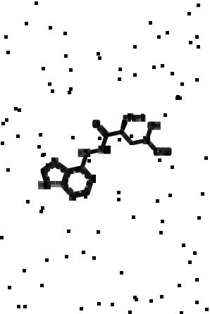 CCCCC[C@@H](CN(O)C=O)C(=O)NNc1ncnc2[nH]cnc12